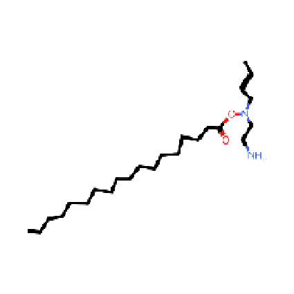 CC=CCN(CCN)OC(=O)CCCCCCCCCCCCCCCCC